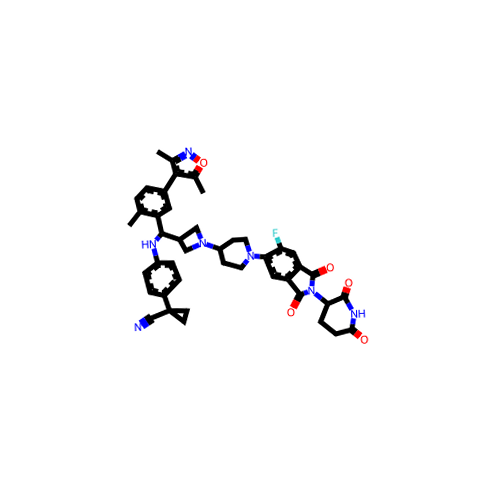 Cc1ccc(-c2c(C)noc2C)cc1C(Nc1ccc(C2(C#N)CC2)cc1)C1CN(C2CCN(c3cc4c(cc3F)C(=O)N(C3CCC(=O)NC3=O)C4=O)CC2)C1